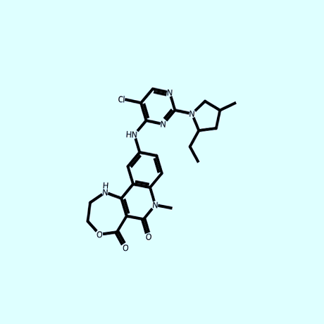 CCC1CC(C)CN1c1ncc(Cl)c(Nc2ccc3c(c2)c2c(c(=O)n3C)C(=O)OCCN2)n1